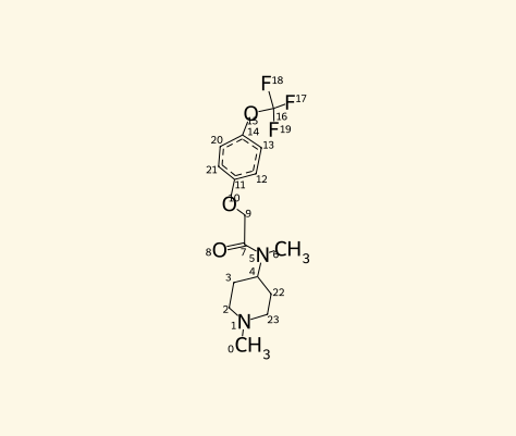 CN1CCC(N(C)C(=O)COc2ccc(OC(F)(F)F)cc2)CC1